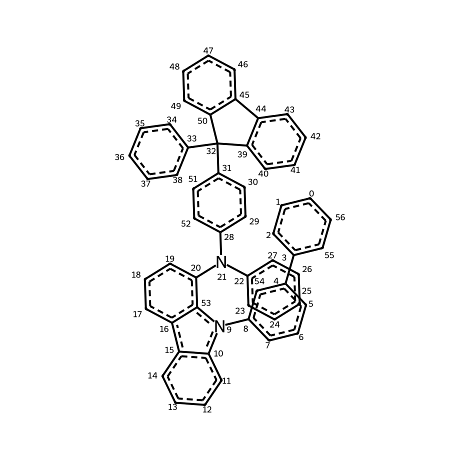 c1ccc(-c2cccc(-n3c4ccccc4c4cccc(N(c5ccccc5)c5ccc(C6(c7ccccc7)c7ccccc7-c7ccccc76)cc5)c43)c2)cc1